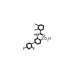 Cc1cccc(C(=O)Nc2cc(-c3ccc(F)cc3F)ccc2C(=O)O)c1C